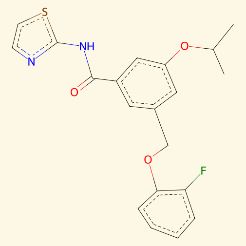 CC(C)Oc1cc(COc2ccccc2F)cc(C(=O)Nc2nccs2)c1